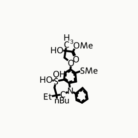 CCCCC1(CC)CN(c2ccccc2)c2cc(SC)c(OCC(C)(O)C(=O)OC)cc2S(O)(O)C1